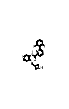 O=C(Nc1cnccc1OCC1CNC1)c1cccc(-c2c(F)cccc2F)n1